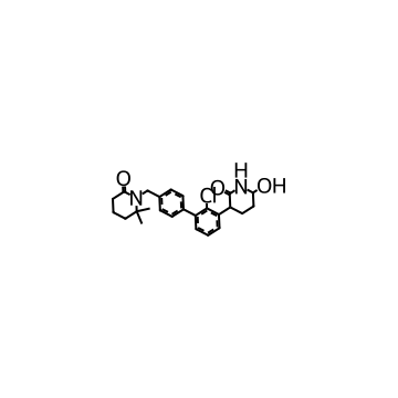 CC1(C)CCCC(=O)N1Cc1ccc(-c2cccc(C3CCC(O)NC3=O)c2Cl)cc1